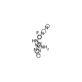 Nc1nc(Nc2ccc(N3CCC(N4CCCC4)CC3)c(F)c2)nn1-c1ncc2c(n1)C1CCC2C1